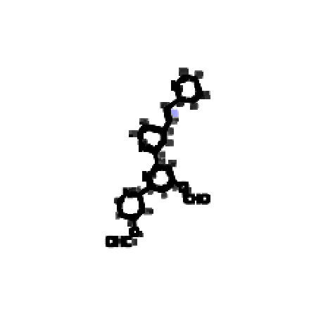 O=COc1ccnc(-c2cc(OC=O)cc(-c3cc(/C=C/c4ccccn4)ccn3)n2)c1